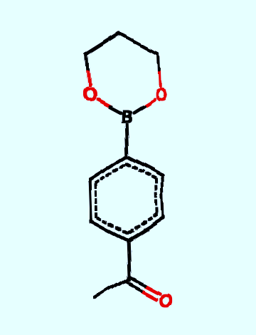 CC(=O)c1ccc(B2OCCCO2)cc1